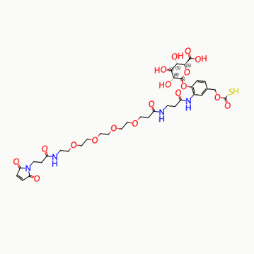 O=C(CCOCCOCCOCCOCCNC(=O)CCN1C(=O)C=CC1=O)NCCC(=O)Nc1cc(COC(=O)S)ccc1O[C@@H]1O[C@H](C(=O)O)[C@@H](O)[C@H](O)[C@H]1O